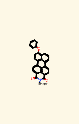 CCCCCCCN1C(=O)c2ccc3c4cccc5c(Oc6ccccc6)ccc(c6ccc(c2c36)C1=O)c54